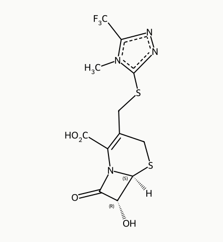 Cn1c(SCC2=C(C(=O)O)N3C(=O)[C@@H](O)[C@@H]3SC2)nnc1C(F)(F)F